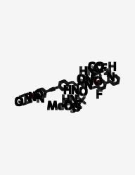 COC(=O)NC(C(=O)NC(Cc1ccc(C#Cc2ccc(N3CC4COCC(C3)N4C3COC3)nc2)cc1)C(O)CN(Cc1c(F)cc(-c2ccccn2)cc1F)NC(=O)C(NC(=O)O)C(C)(C)C(F)(F)F)C(C)(C)C(F)(F)F